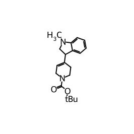 CN1CC(C2=CCN(C(=O)OC(C)(C)C)CC2)c2ccccc21